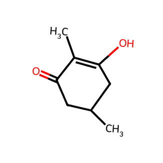 CC1=C(O)CC(C)CC1=O